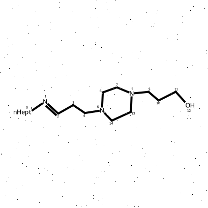 CCCCCCCN=CCCN1CCN(CCCO)CC1